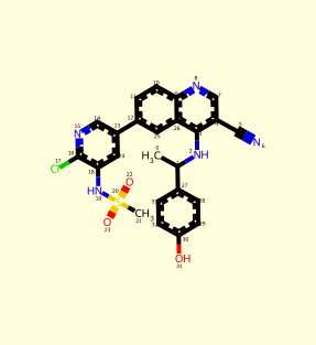 CC(Nc1c(C#N)cnc2ccc(-c3cnc(Cl)c(NS(C)(=O)=O)c3)cc12)c1ccc(O)cc1